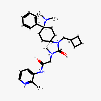 Cc1ncccc1NC(=O)CN1C[C@]2(CC[C@](c3ccccc3)(N(C)C)CC2)N(CC2CCC2)C1=O